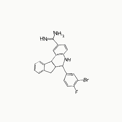 N=C(N)c1ccc2c(c1)C1c3ccccc3CC1C(c1ccc(F)c(Br)c1)N2